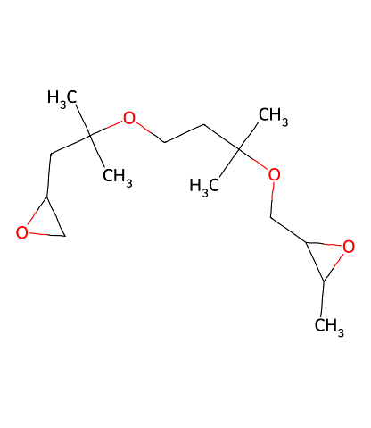 CC1OC1COC(C)(C)CCOC(C)(C)CC1CO1